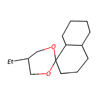 CCC1COC2(CCCC3CCCCC32)OC1